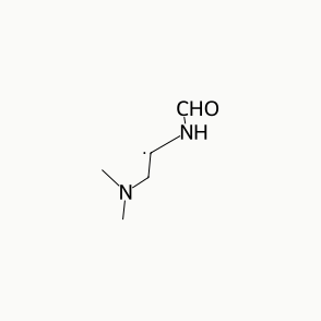 CN(C)C[CH]NC=O